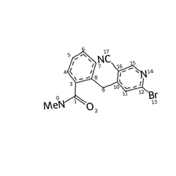 CNC(=O)c1ccccc1Cc1cc(Br)ncc1C#N